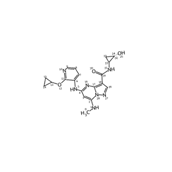 CNc1cc(Nc2cccnc2OC2CC2)nc2c(C(=O)NC3C[C@@H]3O)cnn12